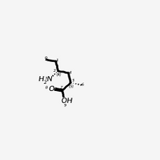 CC[C@@H](N)C[C@H](C)C(=O)O